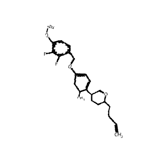 C=CCCC1CCC(C2=CC=C(OCc3ccc(OCCCC)c(F)c3F)CC2C)CO1